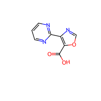 O=C(O)c1ocnc1-c1ncccn1